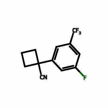 N#CC1(c2cc(F)cc(C(F)(F)F)c2)CCC1